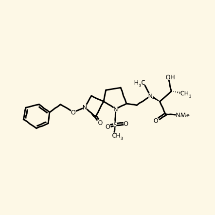 CNC(=O)[C@H]([C@@H](C)O)N(C)CC1CCC2(CN(OCc3ccccc3)C2=O)N1S(C)(=O)=O